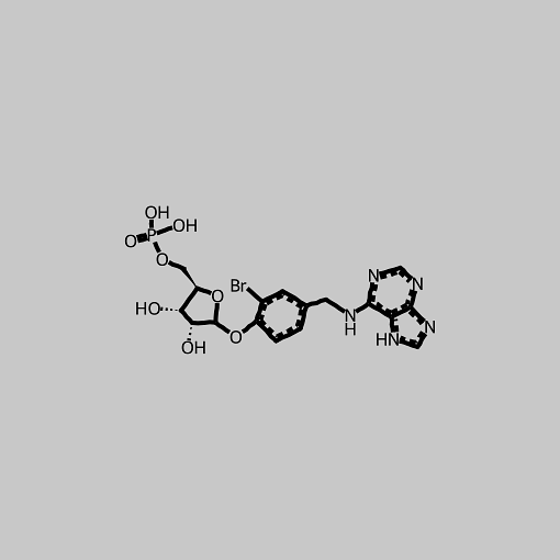 O=P(O)(O)OC[C@H]1OC(Oc2ccc(CNc3ncnc4nc[nH]c34)cc2Br)[C@H](O)[C@@H]1O